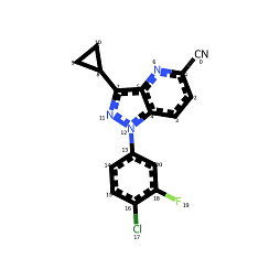 N#Cc1ccc2c(n1)c(C1CC1)nn2-c1ccc(Cl)c(F)c1